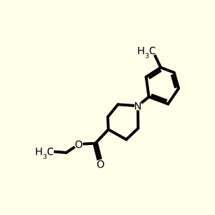 CCOC(=O)C1CCN(c2cccc(C)c2)CC1